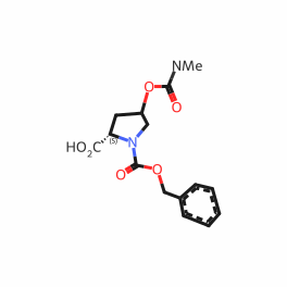 CNC(=O)OC1C[C@@H](C(=O)O)N(C(=O)OCc2ccccc2)C1